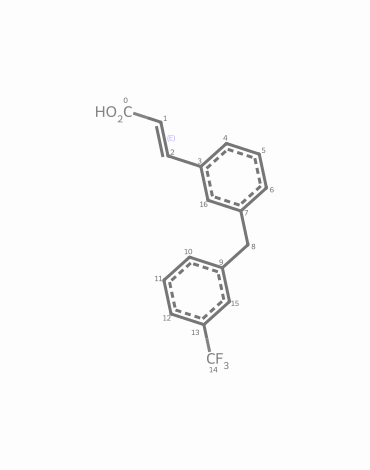 O=C(O)/C=C/c1cccc(Cc2cccc(C(F)(F)F)c2)c1